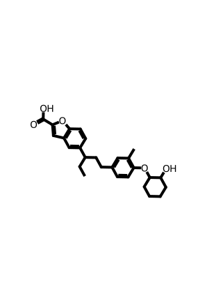 CCC(CCc1ccc(OC2CCCCC2O)c(C)c1)c1ccc2oc(C(=O)O)cc2c1